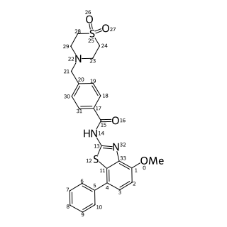 COc1ccc(-c2ccccc2)c2sc(NC(=O)c3ccc(CN4CCS(=O)(=O)CC4)cc3)nc12